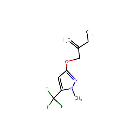 C=C(CC)COc1cc(C(F)(F)F)n(C)n1